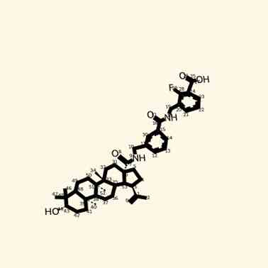 C=C(C)[C@@H]1CC[C@]2(C(=O)NCc3cccc(C(=O)NCc4cccc(C(=O)O)c4F)c3)CC[C@]3(C)C(CCC4[C@@]5(C)CC[C@H](O)C(C)(C)C5CC[C@]43C)C12